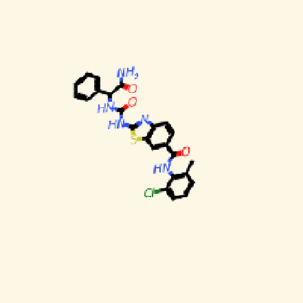 Cc1cccc(Cl)c1NC(=O)c1ccc2nc(NC(=O)NC(C(N)=O)c3ccccc3)sc2c1